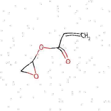 C=CC(=O)OC1CO1